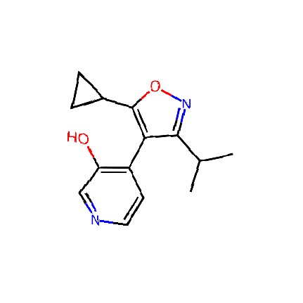 CC(C)c1noc(C2CC2)c1-c1ccncc1O